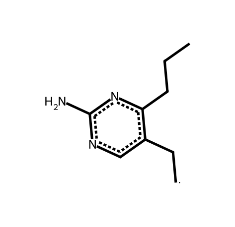 [CH2]Cc1cnc(N)nc1CCC